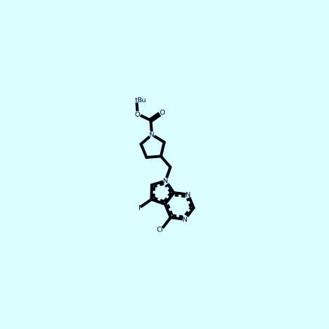 CC(C)(C)OC(=O)N1CCC(Cn2cc(I)c3c(Cl)ncnc32)C1